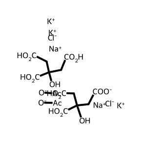 CC(=O)[O-].CC(=O)[O-].O=C(O)CC(O)(CC(=O)O)C(=O)O.O=C([O-])CC(O)(CC(=O)O)C(=O)O.[Cl-].[Cl-].[K+].[K+].[K+].[Na+].[Na+]